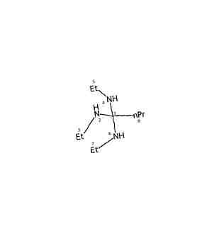 [CH2]CCC(NCC)(NCC)NCC